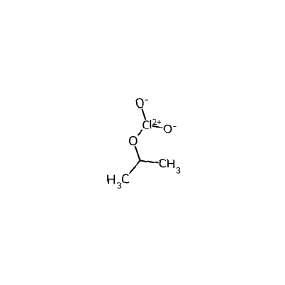 CC(C)O[Cl+2]([O-])[O-]